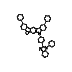 c1ccc(-c2ccc3oc4cc5c(cc4c3c2)c2cc(-c3ccccc3)ccc2n5-c2ccc(-c3nc4ccccc4n3-c3ccccc3)cc2)cc1